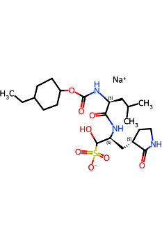 CCC1CCC(OC(=O)N[C@@H](CC(C)C)C(=O)N[C@@H](C[C@@H]2CCNC2=O)C(O)S(=O)(=O)[O-])CC1.[Na+]